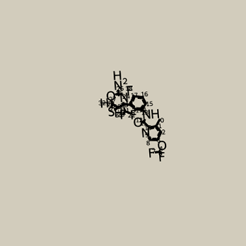 Cc1cc(OC(F)F)cnc1C(=O)Nc1ccc(F)c([C@@]2(C(F)F)N=C(N)O[C@@H]3S[C@@H]32)c1